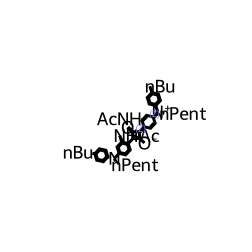 CCCCCN(c1ccc(CCCC)cc1)c1ccc(C2=C([O-])/C(=C3C=C/C(=[N+](\CCCCC)c4ccc(CCCC)cc4)C=C\3NC(C)=O)C2=O)c(NC(C)=O)c1